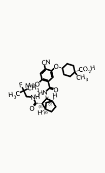 COc1cc(C#N)c(O[C@H]2CC[C@@](C)(C(=O)O)CC2)cc1C(=O)N[C@@H]1[C@H]2CC[C@H](C2)[C@@H]1C(=O)NCC(C)(C)F